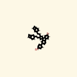 Brc1ccc(-c2ccc3c(c2)C(CCCCc2ccc4c(c2)CC4)(CCCCc2ccc4c(c2)CC4)c2cc(Br)ccc2-3)cc1